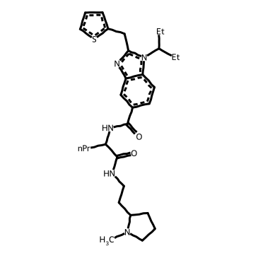 CCCC(NC(=O)c1ccc2c(c1)nc(Cc1cccs1)n2C(CC)CC)C(=O)NCCC1CCCN1C